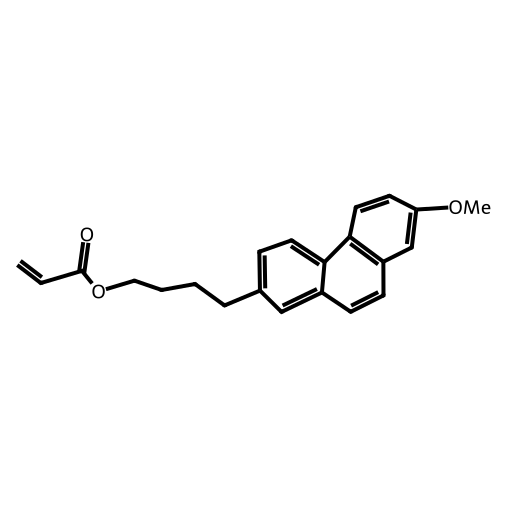 C=CC(=O)OCCCCc1ccc2c(ccc3cc(OC)ccc32)c1